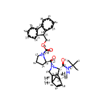 CC(C)(C)NC(=O)[C@@H]1[C@@H]2[C@H](CN1C(=O)[C@H]1CCCN1C(=O)OCC1c3ccccc3-c3ccccc31)[C@@H]1C=C[C@H]2C1